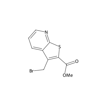 COC(=O)c1sc2ncccc2c1CBr